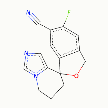 N#Cc1cc2c(cc1F)COC21CCCn2cncc21